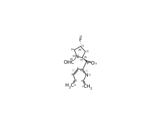 C=C/C=C\C(=N/C=C)C(=O)[C@@H]1C[C@@H](F)CN1C=O